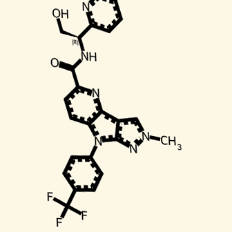 Cn1cc2c3nc(C(=O)N[C@@H](CO)c4ccccn4)ccc3n(-c3ccc(C(F)(F)F)cc3)c2n1